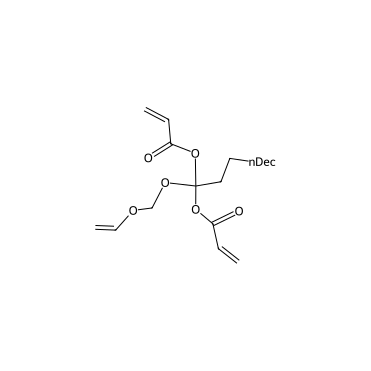 C=COCOC(CCCCCCCCCCCC)(OC(=O)C=C)OC(=O)C=C